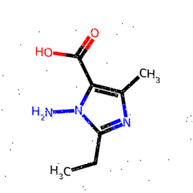 CCc1nc(C)c(C(=O)O)n1N